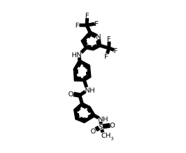 CS(=O)(=O)Nc1cccc(C(=O)Nc2ccc(Nc3cc(C(F)(F)F)nc(C(F)(F)F)c3)cc2)c1